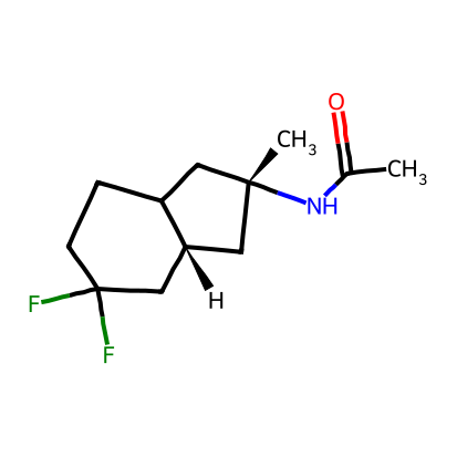 CC(=O)N[C@@]1(C)CC2CCC(F)(F)C[C@H]2C1